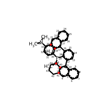 COc1ccc2ccccc2c1-c1cccc(-c2c(C)ccc3ccccc23)c1P(c1ccc(N(C)C)cc1)C1CCCCC1